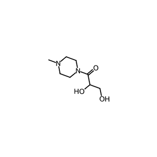 CN1CCN(C(=O)C(O)CO)CC1